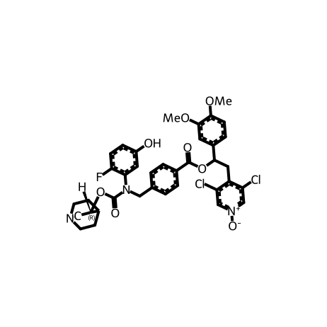 COc1ccc(C(Cc2c(Cl)c[n+]([O-])cc2Cl)OC(=O)c2ccc(CN(C(=O)O[C@H]3CN4CCC3CC4)c3cc(O)ccc3F)cc2)cc1OC